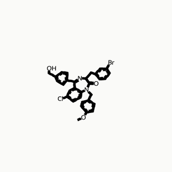 COc1ccc(CN2C(=O)C(Cc3cccc(Br)c3)N=C(c3ccc(CO)cc3)c3cc(Cl)ccc32)cc1